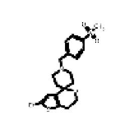 CCc1cc2c(s1)CCOC21CCN(Cc2ccc(S(C)(=O)=O)cc2)CC1